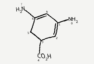 NC1=CC(C(=O)O)CC(N)=C1